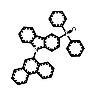 O=P(c1ccccc1)(c1ccccc1)c1ccc2c(c1)c1ccccc1n2-c1cc2ccccc2c2ccccc12